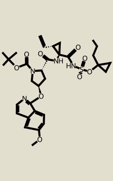 C=C[C@@H]1C[C@]1(NC(=O)[C@@H]1C[C@@H](Oc2nccc3cc(OC)ccc23)CN1C(=O)OC(C)(C)C)C(=O)NS(=O)(=O)OC1(CCC)CC1